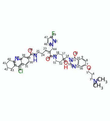 CN(C)CCCOc1ccc2c(=O)n(CC3(O)CCN(C(=O)[C@@H](CCCNC(=O)c4ccc5c(Cl)c6c(nc5c4)CCCC6)Cn4ccc(F)n4)CC3)cnc2c1